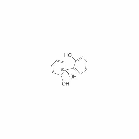 Oc1ccccc1[C@@]1(O)C=CC=CC1O